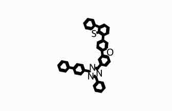 c1ccc(-c2ccc(-c3nc(-c4ccccc4)nc(-c4ccc5oc6cc(-c7cccc8c7sc7ccccc78)ccc6c5c4)n3)cc2)cc1